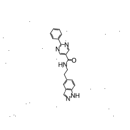 O=C(NCCc1ccc2[nH]ncc2c1)c1cnc(-c2ccccc2)nc1